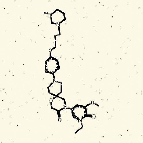 CCn1cc(N2CC3(CCN(c4ccc(OCCCN5CCC[C@H](C)C5)cc4)CC3)OCC2=O)cc(OC)c1=O